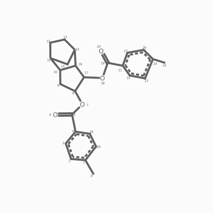 Cc1ccc(C(=O)OC2CC3C4CCC(C4)C3C2OC(=O)c2ccc(C)cc2)cc1